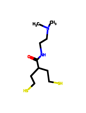 CN(C)CCNC(=O)C(CCS)CCS